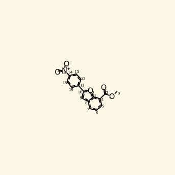 COC(=O)c1cccc2cc(-c3ccc([N+](=O)[O-])cc3)oc12